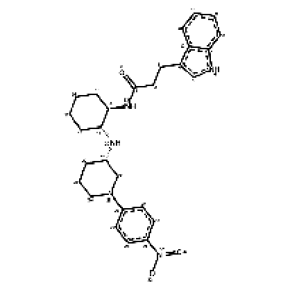 O=C(CCc1c[nH]c2ccccc12)N[C@@H]1CCCC[C@H]1N[C@H]1CCCN(c2ccc([N+](=O)[O-])cc2)C1